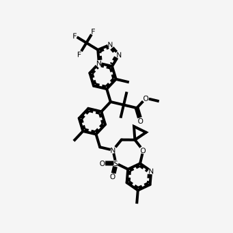 COC(=O)C(C)(C)C(c1ccc(C)c(CN2CC3(CC3)Oc3ncc(C)cc3S2(=O)=O)c1)c1ccn2c(C(F)(F)F)nnc2c1C